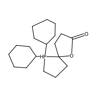 O=C1CCC2(CCC[PH]2(C2CCCCC2)C2CCCCC2)O1